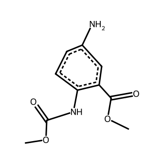 COC(=O)Nc1ccc(N)cc1C(=O)OC